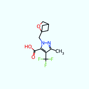 Cc1nn(CC23CC(CO2)C3)c(C(=O)O)c1C(F)(F)F